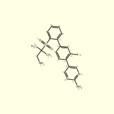 CC(C)(CN)S(=O)(=O)c1ccccc1-c1ccc(-c2cnc(N)nc2)c(F)c1